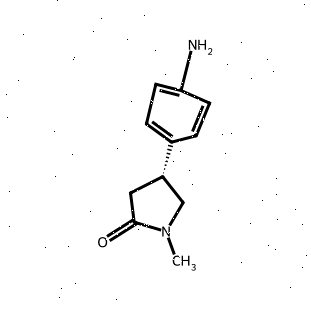 CN1C[C@@H](c2ccc(N)cc2)CC1=O